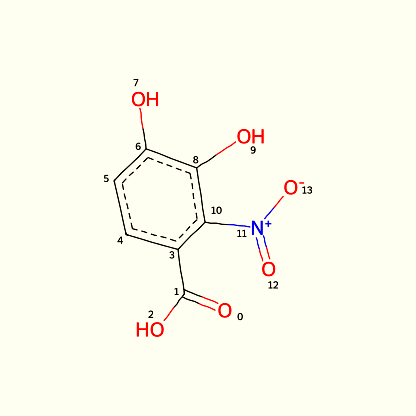 O=C(O)c1ccc(O)c(O)c1[N+](=O)[O-]